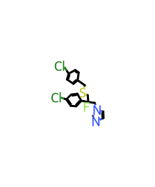 FC(CSCc1ccc(Cl)cc1)(Cn1ccnc1)c1ccc(Cl)cc1